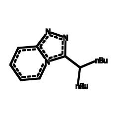 CCCCC(CCCC)c1nnc2ccccn12